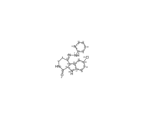 O=C1NCC/C(=N/Nc2ccccn2)c2c1[nH]c1ccc(Cl)cc21